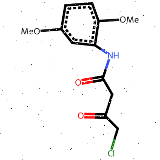 COc1ccc(OC)c(NC(=O)CC(=O)CCl)c1